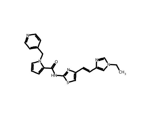 CCn1cnc(/C=C/c2csc(NC(=O)c3cccn3Cc3ccncc3)n2)c1